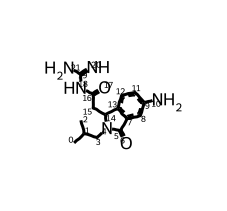 CC(C)CN1C(=O)c2cc(N)ccc2C1CC(=O)NC(=N)N